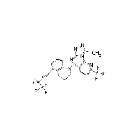 Cc1nnc2nc(N3CCCc4c(C#CC5(C(F)(F)F)CC5)cccc43)c3ccc(C(F)(F)F)nc3n12